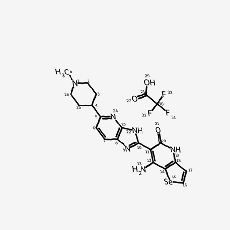 CN1CCC(c2ccc3nc(-c4c(N)c5[se]ccc5[nH]c4=O)[nH]c3n2)CC1.O=C(O)C(F)(F)F